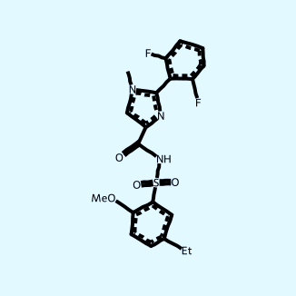 CCc1ccc(OC)c(S(=O)(=O)NC(=O)c2cn(C)c(-c3c(F)cccc3F)n2)c1